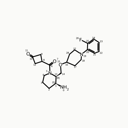 N[C@H]1CCCN(C(=O)C2CC(=O)C2)[C@H]1COC1CCN(c2ccccc2F)CC1